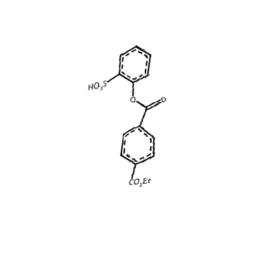 CCOC(=O)c1ccc(C(=O)Oc2ccccc2S(=O)(=O)O)cc1